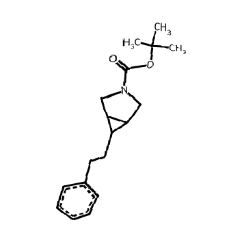 CC(C)(C)OC(=O)N1CC2C(CCc3ccccc3)C2C1